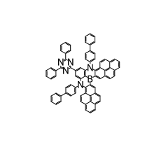 c1ccc(-c2ccc(N3c4cc(-c5nc(-c6ccccc6)nc(-c6ccccc6)n5)cc5c4B(c4cc6ccc7cccc8ccc(c43)c6c78)c3cc4ccc6cccc7ccc(c3N5c3ccc(-c5ccccc5)cc3)c4c67)cc2)cc1